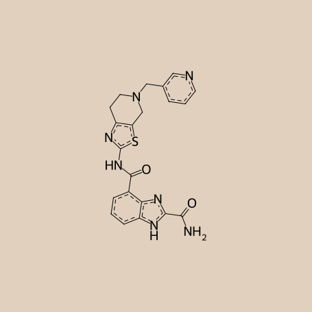 NC(=O)c1nc2c(C(=O)Nc3nc4c(s3)CN(Cc3cccnc3)CC4)cccc2[nH]1